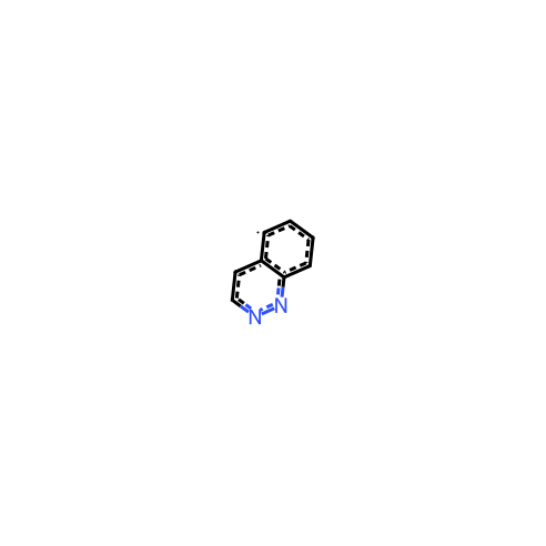 [c]1cccc2nnccc12